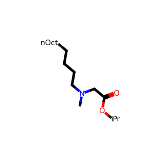 CCCCCCCCCCCCN(C)CC(=O)OC(C)C